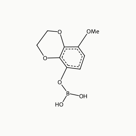 COc1ccc(OB(O)O)c2c1OCCO2